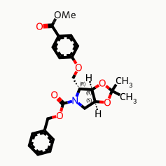 COC(=O)c1ccc(OC[C@@H]2[C@H]3OC(C)(C)O[C@H]3CN2C(=O)OCc2ccccc2)cc1